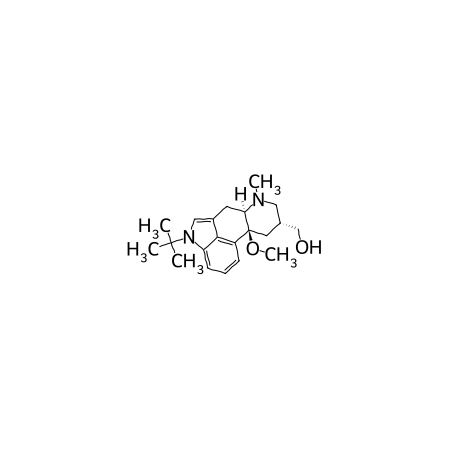 CO[C@]12C[C@@H](CO)CN(C)[C@@H]1Cc1cn(C(C)(C)C)c3cccc2c13